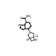 NC(=O)c1ccc(N2C[C@H]3CN[C@@H]3C2)c2cc[nH]c12